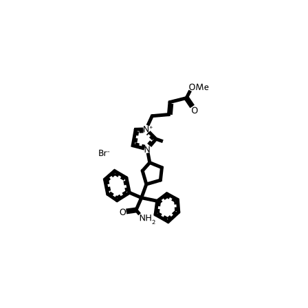 COC(=O)C=CC[n+]1ccn(C2CCC(C(C(N)=O)(c3ccccc3)c3ccccc3)C2)c1C.[Br-]